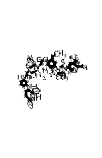 CCc1cc(N2C(=S)N(c3cnc(C#N)c(C(F)(F)F)c3)C(=O)C2(C)C)ccc1OC(C)CN1C[C@@H](C)N(CC(=O)Nc2cccc(NC3CCC(=O)NC3=O)c2)[C@@H](C)C1